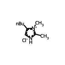 CCCCc1c[nH]c(C)[n+]1C.[Cl-]